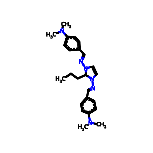 CCCC1N(N=Cc2ccc(N(C)C)cc2)C=CN1N=Cc1ccc(N(C)C)cc1